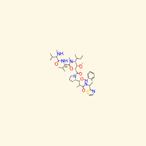 CCC(C)C(C(CC(=O)N1CCCC1C(OC)C(C)C(=O)NC(Cc1ccccc1)c1nccs1)OC)N(C)C(=O)[C@@H](NC(=O)C(NC)C(C)C)C(C)C